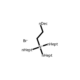 CCCCCCCCCCCC[N+](CCCCCCC)(CCCCCCC)CCCCCCC.[Br-]